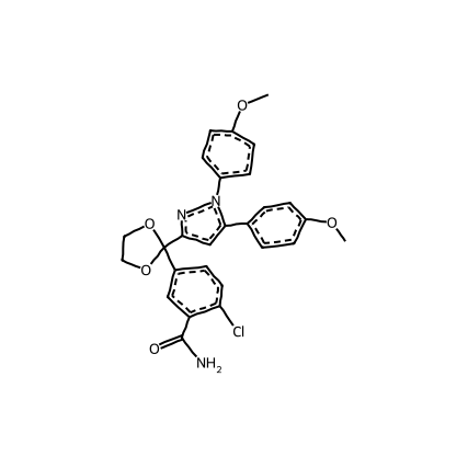 COc1ccc(-c2cc(C3(c4ccc(Cl)c(C(N)=O)c4)OCCO3)nn2-c2ccc(OC)cc2)cc1